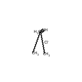 CCCCCCCCCCCCCCCCCC[N+](C)(CCCCCCCCCCCCCCCCCC)N1CCNCC1.[Cl-]